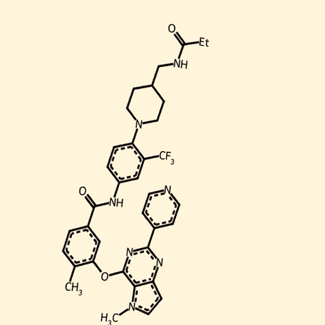 CCC(=O)NCC1CCN(c2ccc(NC(=O)c3ccc(C)c(Oc4nc(-c5ccncc5)nc5ccn(C)c45)c3)cc2C(F)(F)F)CC1